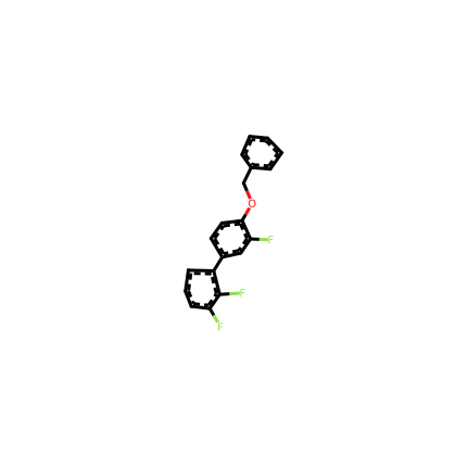 Fc1cc(-c2cccc(F)c2F)ccc1OCc1ccccc1